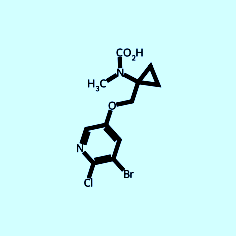 CN(C(=O)O)C1(COc2cnc(Cl)c(Br)c2)CC1